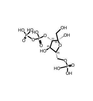 O=P(O)(O)OC[C@H]1O[C@](O)(CO)[C@@H](OP(=O)(O)OP(=O)(O)O)[C@@H]1O